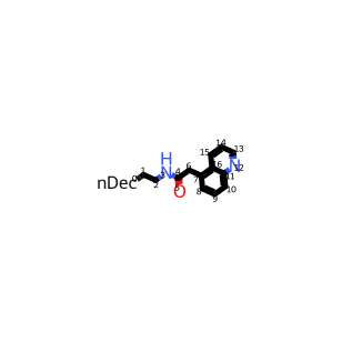 CCCCCCCCCCCCNC(=O)Cc1cccc2ncccc12